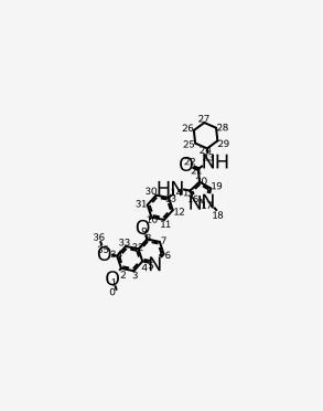 COc1cc2nccc(Oc3ccc(Nc4nn(C)cc4C(=O)NC4CCCCC4)cc3)c2cc1OC